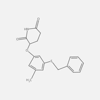 Cc1cc(OC2CCC(=O)NC2=O)cc(SCc2ccccc2)c1